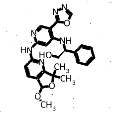 COC1OC(C)(C)c2nc(Nc3cc(N[C@H](CO)c4ccccc4)c(-c4nnco4)cn3)ccc21